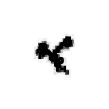 CCOC(=O)c1ccc(C#Cc2ccccc2C(F)(F)F)c(CCCCCc2cccnc2)c1